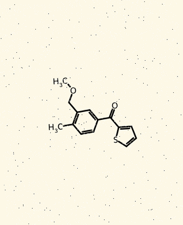 COCc1cc(C(=O)c2cccs2)ccc1C